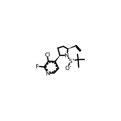 C=C[C@@H]1CC[C@H](c2ccnc(F)c2Cl)N1[S+]([O-])C(C)(C)C